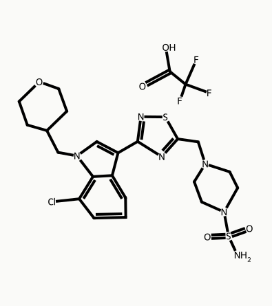 NS(=O)(=O)N1CCN(Cc2nc(-c3cn(CC4CCOCC4)c4c(Cl)cccc34)ns2)CC1.O=C(O)C(F)(F)F